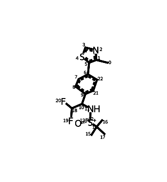 Cc1ncsc1-c1ccc(C(N[S@@+]([O-])C(C)(C)C)C(F)F)cc1